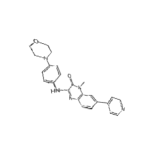 Cn1c(=O)c(Nc2ccc(N3CCOCC3)cc2)nc2ccc(-c3ccncc3)cc21